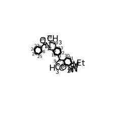 CCn1nnc2c(C)c(C(CC(=O)O)c3ccc4c(c3)CN(C(=O)c3ccccc3)C(C)C4)ccc21